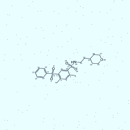 Cc1cc(C)c(S(=O)(=O)c2ccccc2)cc1S(=O)(=O)NCCC1CCOCC1